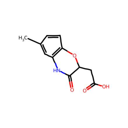 Cc1ccc2c(c1)NC(=O)C(CC(=O)O)O2